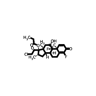 CCC(=O)O[C@@]1(C(=O)CCl)[C@@H](C)C[C@H]2[C@@H]3CCC4=C(F)C(=O)C=C[C@]4(C)[C@@]3(F)[C@@H](O)C[C@@]21C